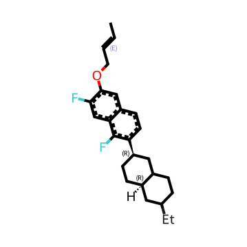 C/C=C/COc1cc2ccc([C@@H]3CC[C@@H]4CC(CC)CCC4C3)c(F)c2cc1F